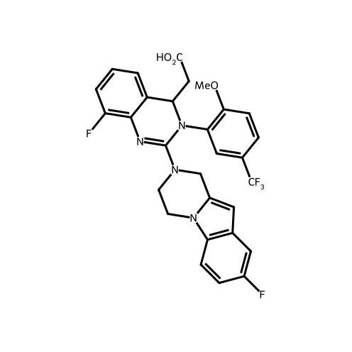 COc1ccc(C(F)(F)F)cc1N1C(N2CCn3c(cc4cc(F)ccc43)C2)=Nc2c(F)cccc2C1CC(=O)O